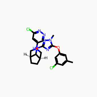 Cc1cc(Cl)cc(Oc2nc(NC3[C@@H]4CC[C@H]3CN(c3cnnc(Cl)c3)C4)nn2C)c1